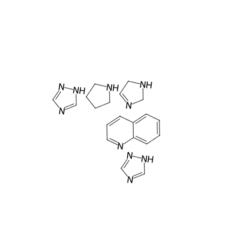 C1=NCNC1.C1CCNC1.c1ccc2ncccc2c1.c1nc[nH]n1.c1nc[nH]n1